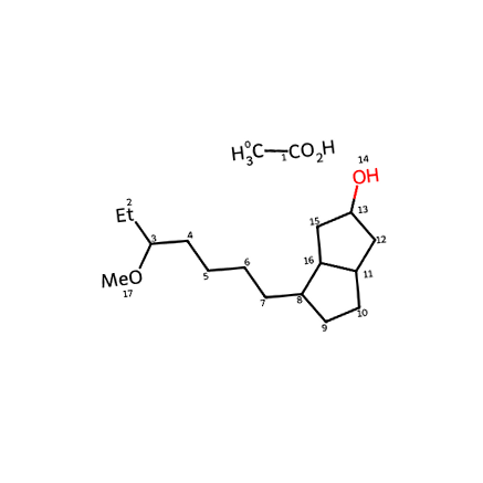 CC(=O)O.CCC(CCCCC1CCC2CC(O)CC12)OC